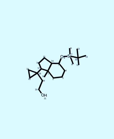 CC12CCCC(O[Si](C)(C)C(C)(C)C)C1CCC2C1(CCO)CC1